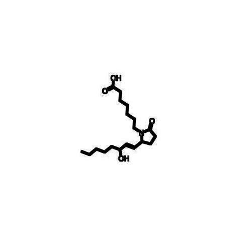 CCCCCC(O)C=CC1CCC(=O)N1CCCCCCC(=O)O